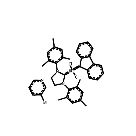 Brc1cccnc1.Cc1cc(C)c(N2CCN(c3c(C)cc(C)cc3C)[C]2=[Ru]([Cl])([Cl])=[C]2c3ccccc3-c3ccccc32)c(C)c1